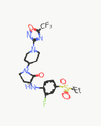 CCS(=O)(=O)c1ccc(N[C@H]2CCN(C3CCN(c4noc(C(F)(F)F)n4)CC3)C2=O)c(F)c1